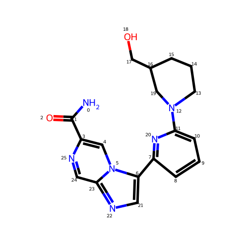 NC(=O)c1cn2c(-c3cccc(N4CCCC(CO)C4)n3)cnc2cn1